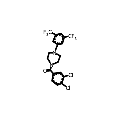 O=C(c1ccc(Cl)c(Cl)c1)N1CCN(c2cc(C(F)(F)F)cc(C(F)(F)F)c2)CC1